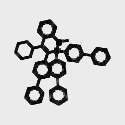 C[O+]1c2ccccc2C(C2CCCCC2)=C(c2ccc(-c3ccccc3)cc2)[B-]1(c1ccc(-c2ccccc2)cc1)c1ccc(-c2ccccc2)cc1